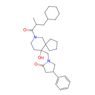 CC(CC1CCCCC1)C(=O)N1CCC(O)(CN2CC(c3ccccc3)CC2=O)C2(CCCC2)C1